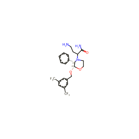 NCCC(C(N)=O)N1CCO[C@H](OCc2cc(C(F)(F)F)cc(C(F)(F)F)c2)[C@@H]1c1ccccc1